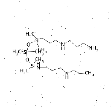 CCCNCCCN[Si](C)(C)O[Si](C)(C)O[Si](C)(C)CCCNCCCN